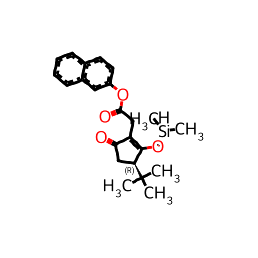 C[SiH](C)OC1=C(CC(=O)Oc2ccc3ccccc3c2)C(=O)C[C@@H]1C(C)(C)C